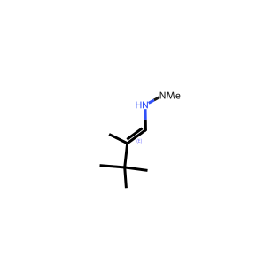 CNN/C=C(\C)C(C)(C)C